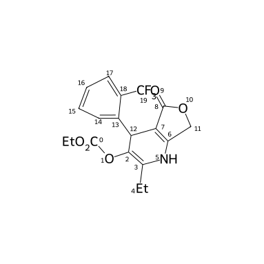 CCOC(=O)OC1=C(CC)NC2=C(C(=O)OC2)C1c1ccccc1C(F)(F)F